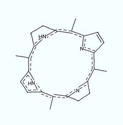 Cc1c2nc(c(C)c3[nH]c(c(C)c4ccc([nH]4)c(C)c4nc1CC4)CC3)C=C2